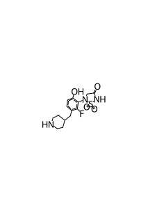 O=C1CN(c2c(O)ccc(CC3CCNCC3)c2F)S(=O)(=O)N1